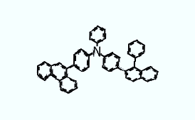 c1ccc(-c2c(-c3ccc(N(c4ccccc4)c4ccc(-c5cc6ccccc6c6ccccc56)cc4)cc3)ccc3ccccc23)cc1